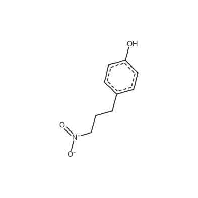 O=[N+]([O-])CCCc1ccc(O)cc1